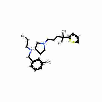 CC(C)C(C#N)(CCCN1CC[C@H](N(CCC#N)Cc2cccc(C#N)c2)C1)c1cccs1